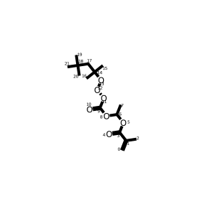 C=C(C)C(=O)OC(C)OC(=O)OOOC(C)(C)CC(C)(C)C